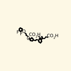 O=C(O)CCCc1cn(CC(=O)O)c2c(C=Cc3ccc(OC/C=C/COc4cccc(F)c4F)cc3)cccc12